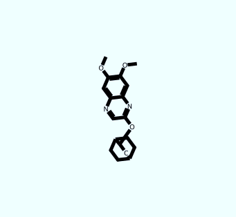 COc1cc2ncc(OC3CC4CCC3CC4)nc2cc1OC